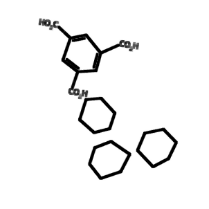 C1CCCCC1.C1CCCCC1.C1CCCCC1.O=C(O)c1cc(C(=O)O)cc(C(=O)O)c1